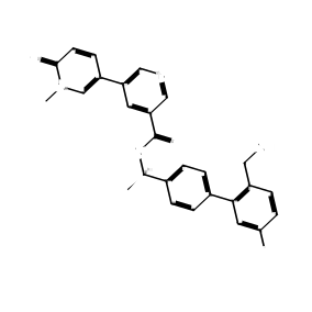 C[C@@H](NC(=O)c1cncc(-c2ccc(=O)n(C)c2)c1)c1ccc(-c2cc(C(F)(F)F)ccc2CN)cc1